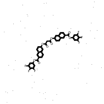 O=C(CC(=O)Oc1ccc2cc(C(=O)Oc3cc(F)c(F)c(F)c3)ccc2c1)Oc1ccc2cc(C(=O)Oc3cc(F)c(F)c(F)c3)ccc2c1